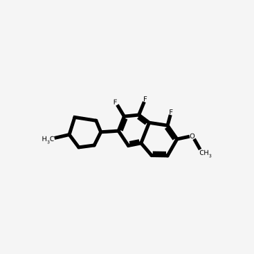 COc1ccc2cc(C3CCC(C)CC3)c(F)c(F)c2c1F